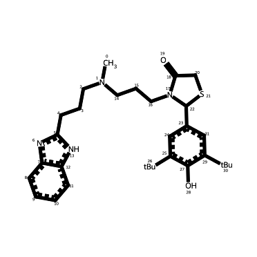 CN(CCCc1nc2ccccc2[nH]1)CCCN1C(=O)CSC1c1cc(C(C)(C)C)c(O)c(C(C)(C)C)c1